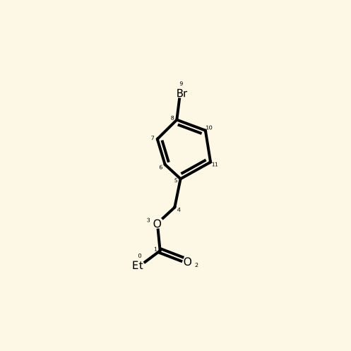 CCC(=O)OCc1ccc(Br)cc1